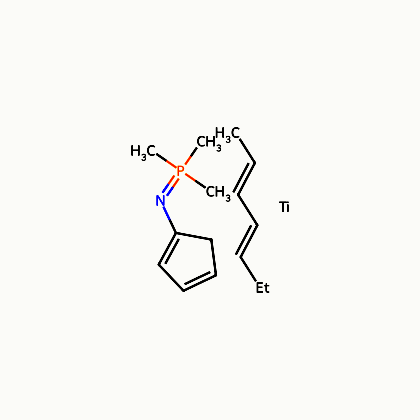 CC=CC=CCC.CP(C)(C)=NC1=CC=CC1.[Ti]